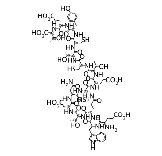 C[C@@H](O)[C@H](NC(=O)[C@H](CCC(=O)O)NC(=O)[C@H](Cc1ccc(O)cc1)NC(=O)[C@H](CS)NC(=O)[C@@H](NC(=O)[C@H](CS)NC(=O)[C@@H](NC(=O)[C@H](CCC(=O)O)NC(=O)[C@H](CS)NC(=O)[C@H](CC(N)=O)NC(=O)[C@H](CC(=O)O)NC(=O)[C@@H](NC(=O)[C@H](CCC(N)=O)NC(=O)[C@H](Cc1c[nH]c2ccccc12)NC(=O)[C@@H](N)CCC(=O)O)[C@@H](C)O)[C@@H](C)O)[C@@H](C)O)C(=O)O